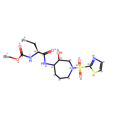 CC(C)C[C@H](NC(=O)OC(C)(C)C)C(=O)NC1CCCN(S(=O)(=O)c2nccs2)CC1O